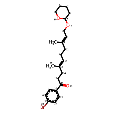 C/C(=C\COC1CCCCO1)CC/C=C(\C)CCC(=O)c1ccc(Br)cc1